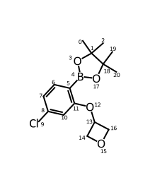 CC1(C)OB(c2ccc(Cl)cc2OC2COC2)OC1(C)C